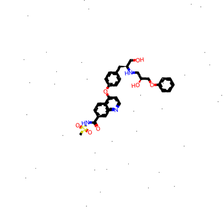 CS(=O)(=O)NC(=O)c1ccc2c(Oc3ccc(C[C@@H](CO)NC[C@H](O)COc4ccccc4)cc3)ccnc2c1